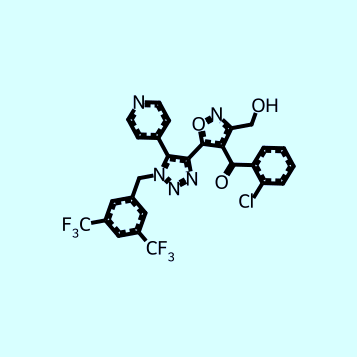 O=C(c1ccccc1Cl)c1c(CO)noc1-c1nnn(Cc2cc(C(F)(F)F)cc(C(F)(F)F)c2)c1-c1ccncc1